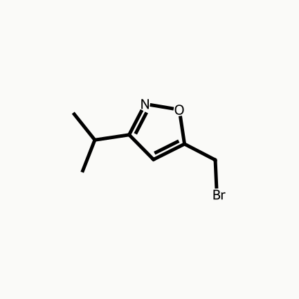 CC(C)c1cc(CBr)on1